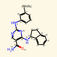 CC(=O)Nc1cccc(Nc2ncc(C(N)=O)c(N[C@H]3CCc4ccccc43)n2)c1